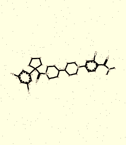 CN(C)C(=O)c1ccc(N2CCC(C3CCN(C(=O)C4(c5cc(F)cc(F)c5)CCCC4)CC3)CC2)cc1Cl